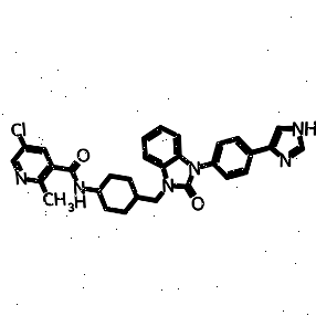 Cc1ncc(Cl)cc1C(=O)NC1CCC(Cn2c(=O)n(-c3ccc(-c4c[nH]cn4)cc3)c3ccccc32)CC1